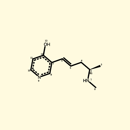 CN[C@H](C)CC=Cc1cnccc1O